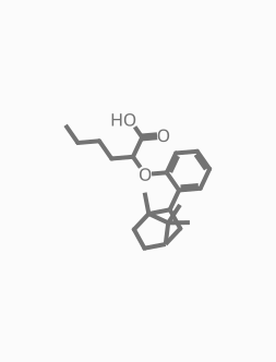 CCCCC(Oc1ccccc1C1CC2CCC1(C)C2(C)C)C(=O)O